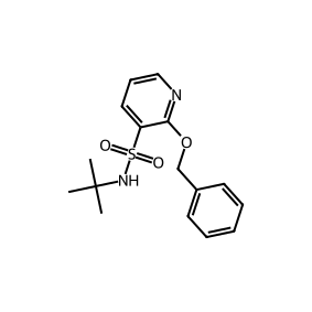 CC(C)(C)NS(=O)(=O)c1cccnc1OCc1ccccc1